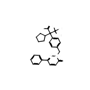 CC(C)(C)C(C(=O)O)(c1ccc(Cn2nc(-c3ccccc3)ccc2=O)cc1)C1CCCC1